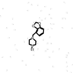 CCN1CCN(Cc2cccc3c2OCO3)CC1